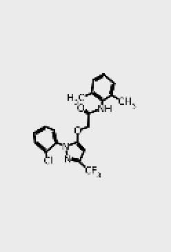 Cc1cccc(C)c1NC(=O)COc1cc(C(F)(F)F)nn1-c1ccccc1Cl